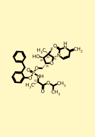 C=C1C=CN([C@@H]2O[C@H](COP(=O)(N[C@@H](C)C(=O)OC(C)C)Oc3ccccc3Cc3ccccc3)[C@@H](O)[C@@]2(C)F)C(=O)N1